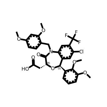 COc1ccc(CN2C(=O)[C@@H](CC(=O)O)O[C@H](c3cccc(OC)c3OC)c3cc(Cl)c(C(F)(F)F)cc32)c(OC)c1